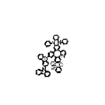 O=S1(=O)c2ccccc2Oc2cc3c(cc21)c1cc(-n2c4ccccc4c4cc(-n5c6ccccc6c6ccccc65)ccc42)ccc1c1cc2c(cc1c1cccnc13)n(-c1ccccc1)c1ccccc1n2-c1ccccc1